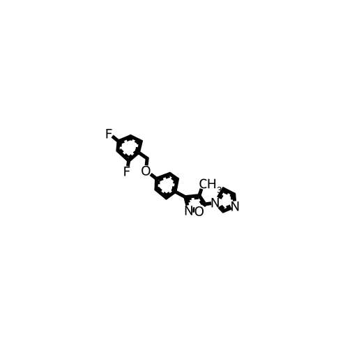 Cc1c(-c2ccc(OCc3ccc(F)cc3F)cc2)noc1-n1ccnc1